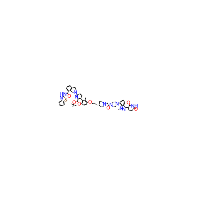 Cc1c(OCCCC2CCN(CC(=O)N3CCN(c4cccc5c(C6CCC(=O)NC6=O)nn(C)c45)CC3)CC2)cccc1-c1ccc(N2CCc3cccc(C(=O)Nc4nc5ccccc5s4)c3C2)nc1C(=O)OC(C)(C)C